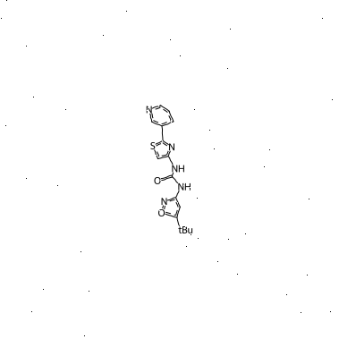 CC(C)(C)c1cc(NC(=O)Nc2csc(-c3cccnc3)n2)no1